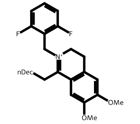 CCCCCCCCCCCC1=[N+](Cc2c(F)cccc2F)CCc2cc(OC)c(OC)cc21